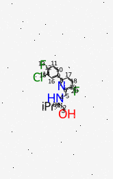 CC(C)[C@H](CO)NCc1nc(-c2ccc(F)c(Cl)c2)ccc1F